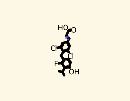 CC(C)c1c(O)ccc(Cc2c(Cl)cc(/C=C/C(=O)O)cc2Cl)c1F